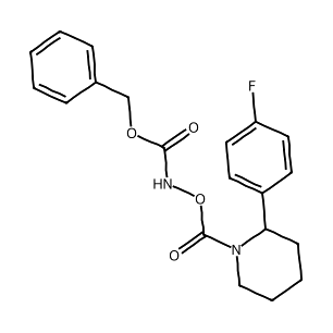 O=C(NOC(=O)N1CCCCC1c1ccc(F)cc1)OCc1ccccc1